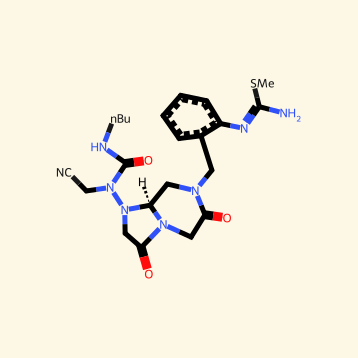 CCCCNC(=O)N(CC#N)N1CC(=O)N2CC(=O)N(Cc3ccccc3/N=C(/N)SC)C[C@@H]21